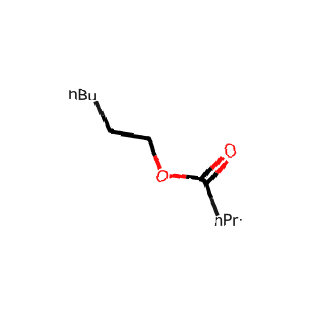 CC[CH]C(=O)OCCCCCC